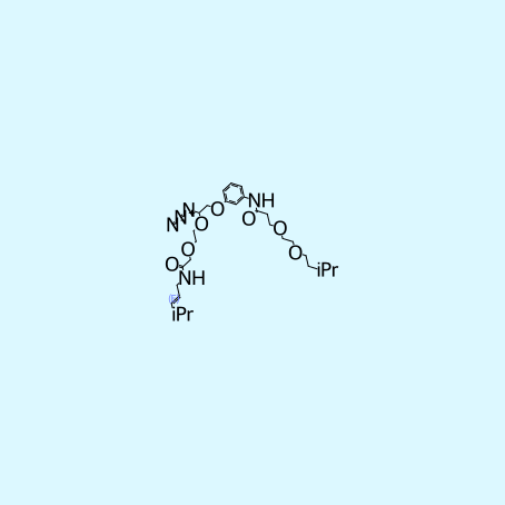 CC(C)/C=C/CNC(=O)COCCOC(COc1cccc(NC(=O)CCOCCOCCC(C)C)c1)N=[N+]=[N-]